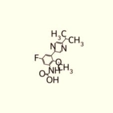 COc1c(NC(=O)O)cc(F)cc1-c1cnc(C(C)C)cn1